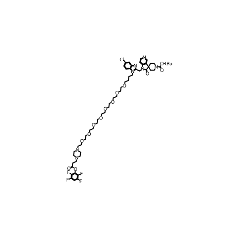 CC(C)(C)OC(=O)N1CCC2(CC1)C(=O)N(Cc1nc3cc(Cl)ccc3n1CCCCOCCOCCOCCOCCOCCOCCOCCOCCN1CCN(CCC(=O)Oc3c(F)c(F)cc(F)c3F)CC1)c1ccncc12